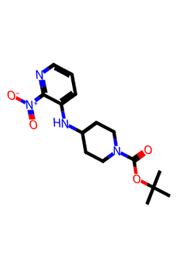 CC(C)(C)OC(=O)N1CCC(Nc2cccnc2[N+](=O)[O-])CC1